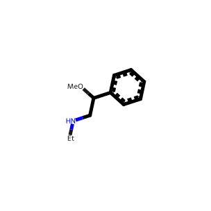 CCNCC(OC)c1ccccc1